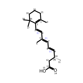 CC1=C(/C=C/C(C)=C/C=C/[C@H](C)CC(=O)O)C(C)(C)CCC1